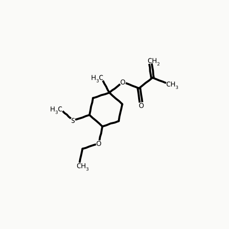 C=C(C)C(=O)OC1(C)CCC(OCC)C(SC)C1